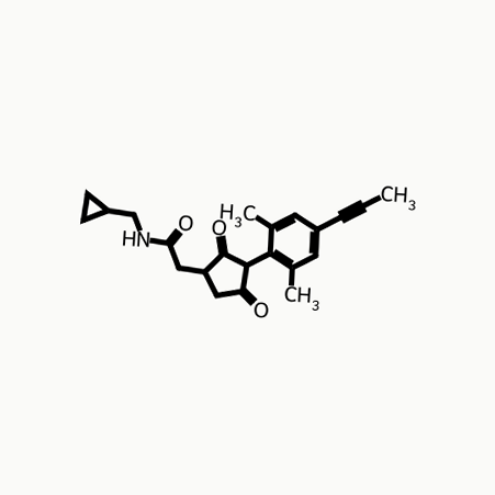 CC#Cc1cc(C)c(C2C(=O)CC(CC(=O)NCC3CC3)C2=O)c(C)c1